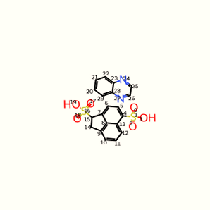 O=S(=O)(O)c1ccc2c3c(cccc13)CC2S(=O)(=O)O.c1ccc2nccnc2c1